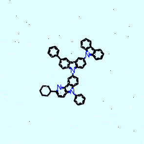 c1ccc(-c2ccc3c(c2)c2cc(-n4c5ccccc5c5ccccc54)ccc2n3-c2ccc3c(c2)c2nc(C4CCCCC4)ccc2n3-c2ccccc2)cc1